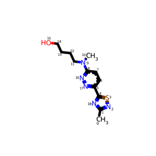 Cc1nsc(-c2ccc(N(C)CCCCO)nn2)n1